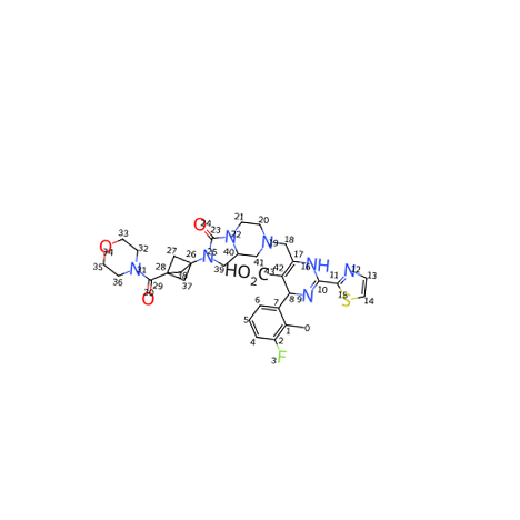 Cc1c(F)cccc1C1N=C(c2nccs2)NC(CN2CCN3C(=O)N(C45CC(C(=O)N6CCOCC6)(C4)C5)CC3C2)=C1C(=O)O